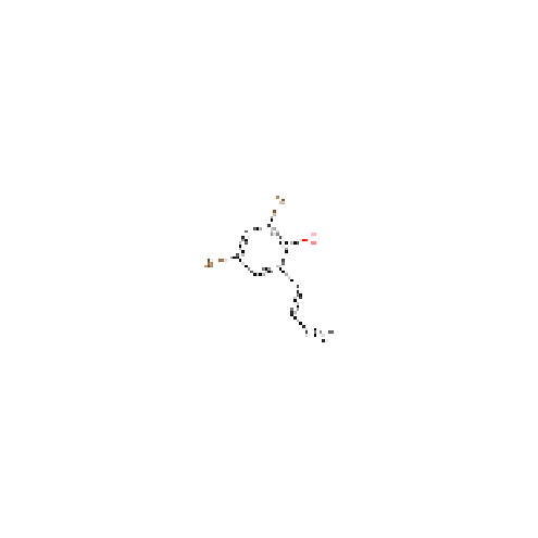 O=C(O)C=Cc1cc(Br)cc(Br)c1O